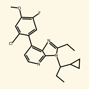 CCc1nc2c(-c3cc(F)c(OC)cc3Cl)ccnc2n1C(CC)C1CC1